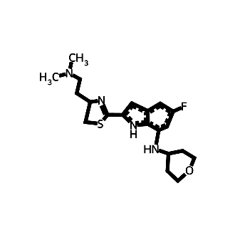 CN(C)CCC1CSC(c2cc3cc(F)cc(NC4CCOCC4)c3[nH]2)=N1